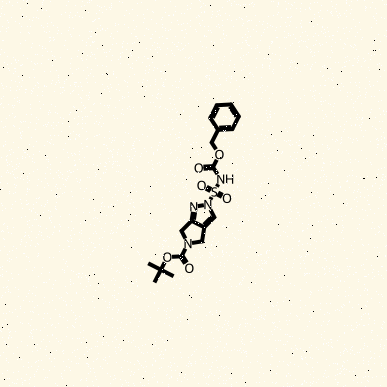 CC(C)(C)OC(=O)N1Cc2cn(S(=O)(=O)NC(=O)OCc3ccccc3)nc2C1